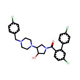 O=C(c1ccc(Cl)cc1-c1ccc(Cl)cc1)N1CC(O)C(N2CCN(Cc3ccc(Cl)cc3)CC2)C1